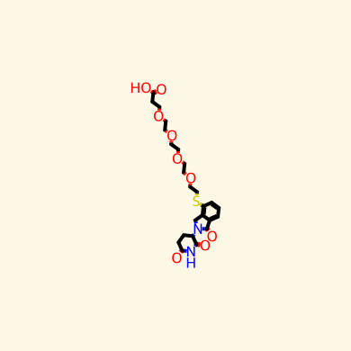 O=C(O)CCOCCOCCOCCOCCSc1cccc2c1CN(C1CCC(=O)NC1=O)C2=O